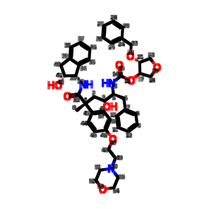 C[C@](C[C@H](O)[C@H](Cc1ccccc1)NC(=O)O[C@@H]1COC[C@H]1OCc1ccccc1)(C(=O)N[C@H]1c2ccccc2C[C@H]1O)c1ccc(OCCN2CCOCC2)cc1